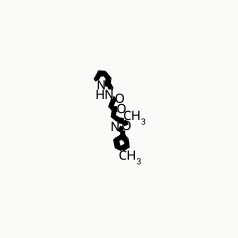 Cc1ccc(-c2nc(CC(=O)CC(=O)NCc3ccccn3)c(C)o2)cc1